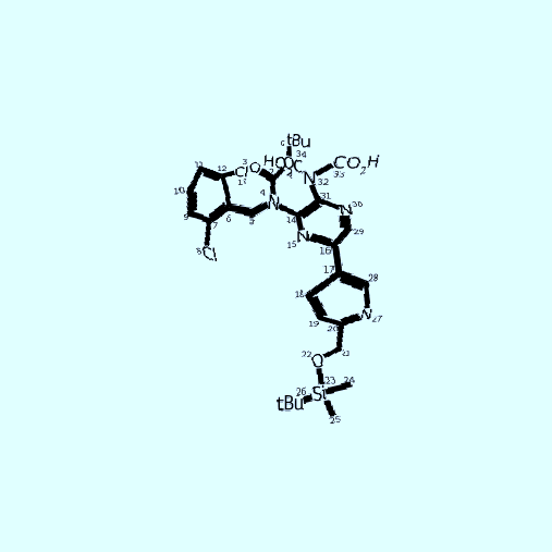 CC(C)(C)OC(=O)N(Cc1c(Cl)cccc1Cl)c1nc(-c2ccc(CO[Si](C)(C)C(C)(C)C)nc2)cnc1N(C(=O)O)C(=O)O